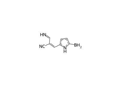 Bc1ccc(/C=C(/C#N)C=N)[nH]1